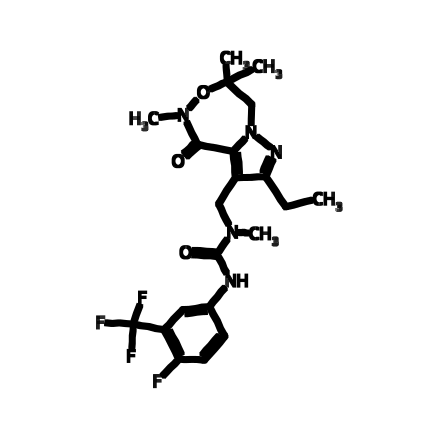 CCc1nn2c(c1CN(C)C(=O)Nc1ccc(F)c(C(F)(F)F)c1)C(=O)N(C)OC(C)(C)C2